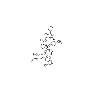 CC1CCN(C)C[C@@H]1OC(=O)NC(c1ccccc1)c1cccc(OC(=O)c2cccc(S(=O)(=O)N3CCS[C@H]3C(=O)O[C@@H](Cc3c(Cl)cncc3Cl)c3ccc(O)c(OCC4CC4)c3)c2)c1